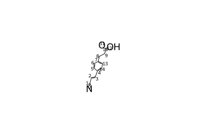 N#CC=Cc1ccc(CCC(=O)O)cc1